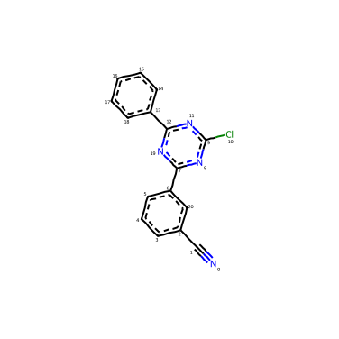 N#Cc1cccc(-c2nc(Cl)nc(-c3ccccc3)n2)c1